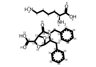 NCCCC[C@H](N)C(=O)O.O=C(O)C1OC2OC1C(=O)N(Cc1ccccc1)C2Cc1ccccc1